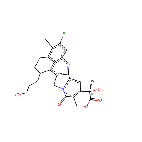 CC[C@@]1(O)C(=O)OCc2c1cc1n(c2=O)Cc2c-1nc1cc(F)c(C)c3c1c2C(CCCO)CC3